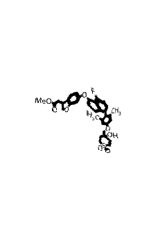 COC(=O)CC1COc2cc(O[C@@H]3CCc4c(-c5c(C)cc(OCC6(O)CCS(=O)(=O)CC6)cc5C)ccc(F)c43)ccc21